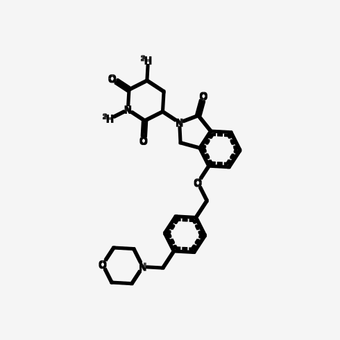 [2H]C1CC(N2Cc3c(OCc4ccc(CN5CCOCC5)cc4)cccc3C2=O)C(=O)N([2H])C1=O